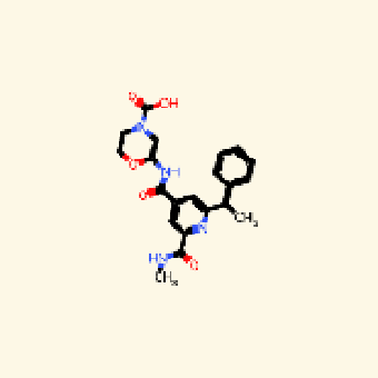 CNC(=O)c1cc(C(=O)NC2CN(C(=O)O)CCO2)cc(C(C)c2ccccc2)n1